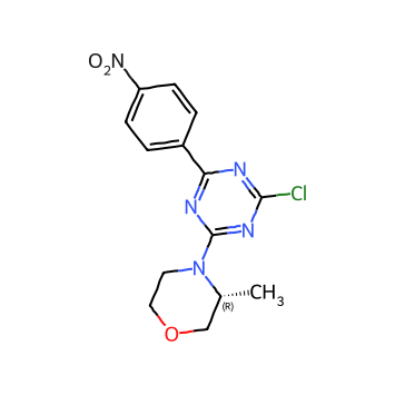 C[C@@H]1COCCN1c1nc(Cl)nc(-c2ccc([N+](=O)[O-])cc2)n1